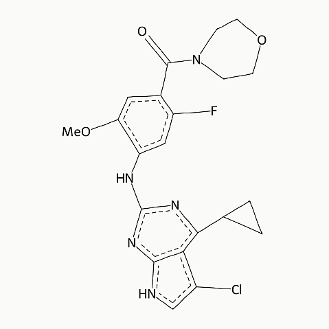 COc1cc(C(=O)N2CCOCC2)c(F)cc1Nc1nc(C2CC2)c2c(Cl)c[nH]c2n1